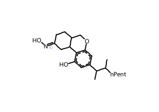 CCCCCC(C)C(C)c1cc(O)c2c(c1)OCC1CC/C(=N\O)CC21